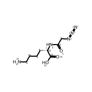 [N-]=[N+]=NCC(=O)N[C@@H](CCCCN)C(=O)O